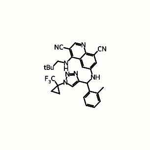 Cc1ccccc1C(Nc1cc(C#N)c2ncc(C#N)c(NCC(C)(C)C)c2c1)c1cn(C2(C(F)(F)F)CC2)nn1